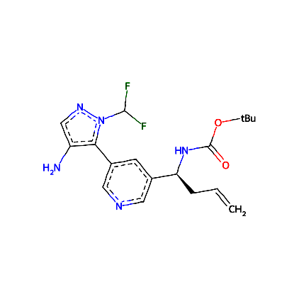 C=CC[C@H](NC(=O)OC(C)(C)C)c1cncc(-c2c(N)cnn2C(F)F)c1